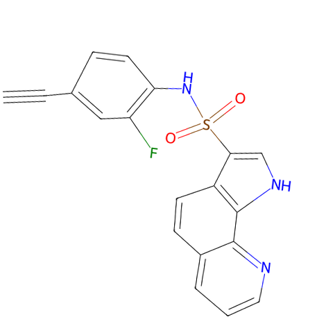 C#Cc1ccc(NS(=O)(=O)c2c[nH]c3c2ccc2cccnc23)c(F)c1